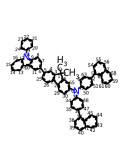 CC1(C)c2cc(-c3ccc4c(c3)c3ccccc3n4-c3ccccc3)ccc2-c2ccc(N(c3ccc(-c4cccc5ccccc45)cc3)c3ccc(-c4cccc5ccccc45)cc3)cc21